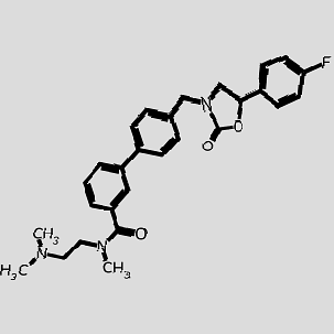 CN(C)CCN(C)C(=O)c1cccc(-c2ccc(CN3CC(c4ccc(F)cc4)OC3=O)cc2)c1